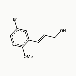 COc1ncc(Br)cc1C=CCO